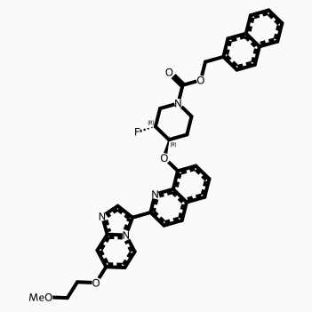 COCCOc1ccn2c(-c3ccc4cccc(O[C@@H]5CCN(C(=O)OCc6ccc7ccccc7c6)C[C@H]5F)c4n3)cnc2c1